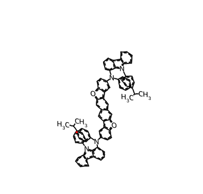 CC(C)c1ccc(-n2c3ccccc3c3cccc(N(c4ccccc4)c4ccc5oc6cc7cc8c(cc7cc6c5c4)oc4ccc(N(c5ccccc5)c5cccc6c7ccccc7n(-c7ccc(C(C)C)cc7)c56)cc48)c32)cc1